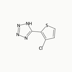 Clc1ccsc1-c1nnn[nH]1